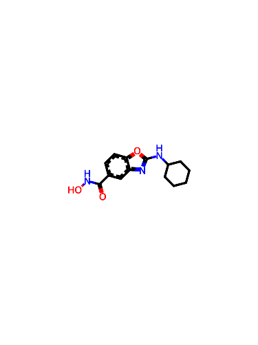 O=C(NO)c1ccc2oc(NC3CCCCC3)nc2c1